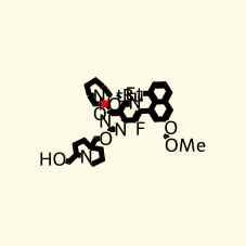 CCc1cccc2cc(OCOC)cc(-c3ncc4c(N5CC6CCC(C5)N6C(=O)OC(C)(C)C)nc(OCC56CCCN5C(CO)CC6)nc4c3F)c12